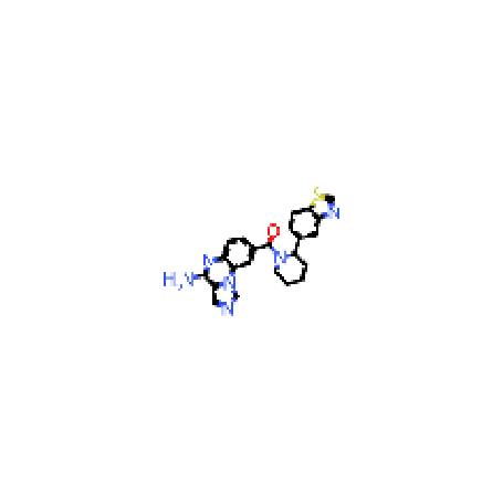 Nc1nc2ccc(C(=O)N3CCCCC3c3ccc4scnc4c3)cc2n2cncc12